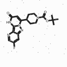 CC(C)(C)OC(=O)N1CCC(c2cc(=O)[nH]c3c4ncc(F)cc4nn23)CC1